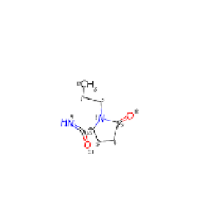 CCCN1CCCC1=O.N=C=O